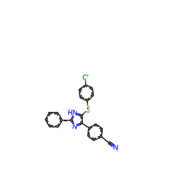 N#Cc1ccc(-c2nc(-c3ccccc3)[nH]c2Sc2ccc(Cl)cc2)cc1